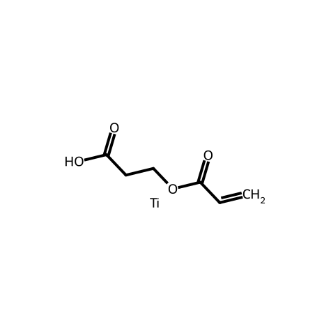 C=CC(=O)OCCC(=O)O.[Ti]